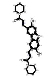 O=C(/C=C/c1cc2c(cc1O)oc1cc(O)c(/C=C/C(=O)N3CCCCC3)cc12)N1CCCCC1